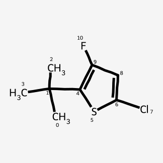 CC(C)(C)c1sc(Cl)cc1F